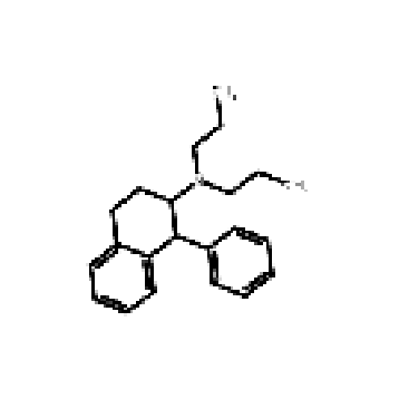 CCCN(CCC)C1CCc2ccccc2C1c1ccccc1